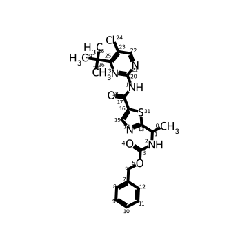 CC(NC(=O)OCc1ccccc1)c1ncc(C(=O)Nc2ncc(Cl)c(C(C)(C)C)n2)s1